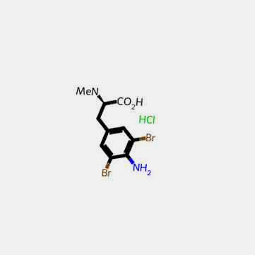 CN[C@H](Cc1cc(Br)c(N)c(Br)c1)C(=O)O.Cl